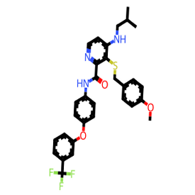 COc1ccc(CSc2c(NCC(C)C)ccnc2C(=O)Nc2ccc(Oc3cccc(C(F)(F)F)c3)cc2)cc1